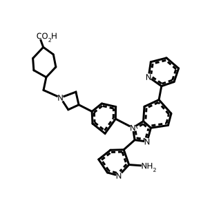 Nc1ncccc1-c1nc2ccc(-c3ccccn3)cc2n1-c1ccc(C2CN(CC3CCC(C(=O)O)CC3)C2)cc1